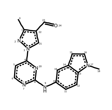 Cc1nn(-c2ccnc(Nc3ccc4c(ccn4C)c3)n2)cc1C=O